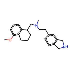 COc1cccc2c1CCCC2CN(C)CCc1ccc2c(c1)CNC2